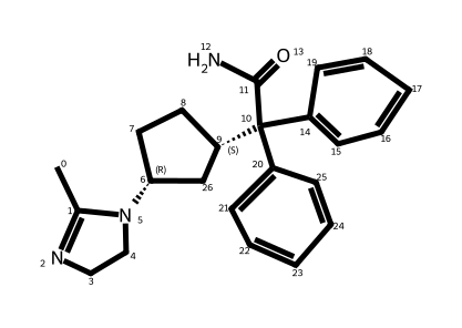 CC1=NCCN1[C@@H]1CC[C@H](C(C(N)=O)(c2ccccc2)c2ccccc2)C1